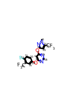 Cn1nc(Oc2cc(Oc3ccc(F)c(C(F)(F)F)c3)ncn2)cc1C(F)(F)F